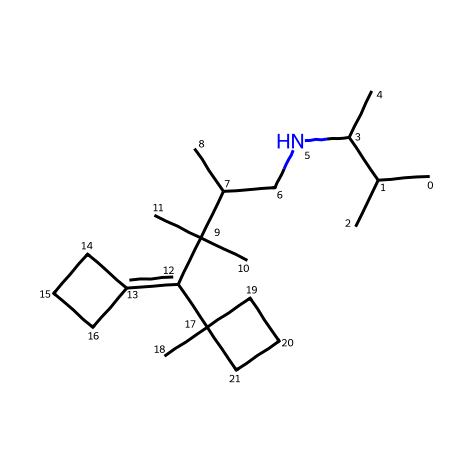 CC(C)C(C)NCC(C)C(C)(C)C(=C1CCC1)C1(C)CCC1